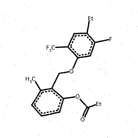 CCC(=O)Oc1cccc(C)c1COc1cc(F)c(CC)cc1C(F)(F)F